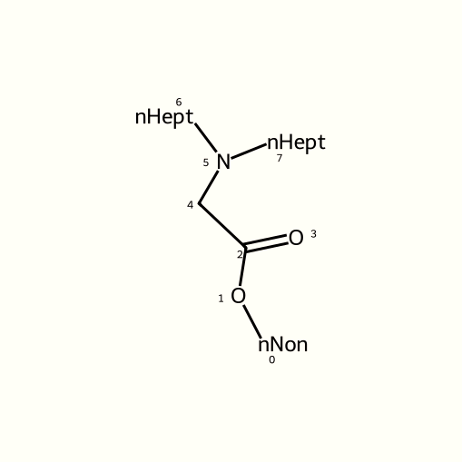 CCCCCCCCCOC(=O)CN(CCCCCCC)CCCCCCC